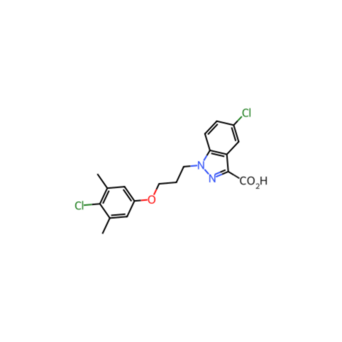 Cc1cc(OCCCn2nc(C(=O)O)c3cc(Cl)ccc32)cc(C)c1Cl